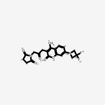 Cc1c(CC(=O)CN2C(=O)CCC2=O)c(=O)oc2cc(N3CC(F)(F)C3)ccc12